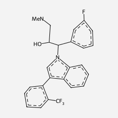 CNCC(O)C(c1cccc(F)c1)n1cc(-c2ccccc2C(F)(F)F)c2ccccc21